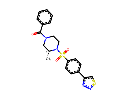 C[C@@H]1CN(C(=O)c2ccccc2)CCN1S(=O)(=O)c1ccc(-c2csnn2)cc1